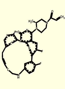 C=CC(=O)N1CCN(c2nc(=O)n3c4nc(c(F)cc24)-c2cc(ccc2F)NCC/C=C/Cc2cnc(C(C)C)c-3c2)[C@@H](C)C1